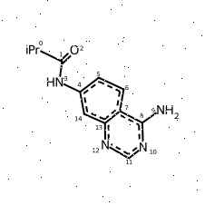 CC(C)C(=O)Nc1ccc2c(N)ncnc2c1